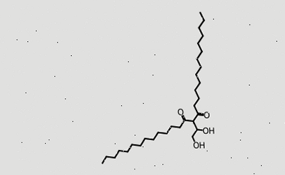 CCCCCCCCCCCCCC(=O)[C](C(=O)CCCCCCCCCCCCC)C(O)CO